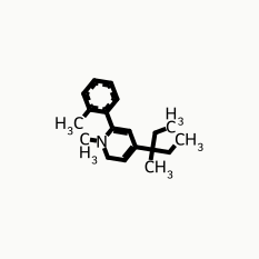 CCC(C)(CC)C1=CCN(C)C(c2ccccc2C)=C1